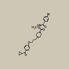 C[C@@H](NC(=O)c1ccc(Br)cc1)C(=O)N1CCN(CCCOc2ccc(C(=O)C3CC3)cc2)CC1